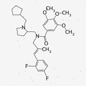 COc1cc(C(=O)N(C/C(C)=C/c2ccc(F)cc2F)CC2CCCN2CC2CCCC2)cc(OC)c1OC